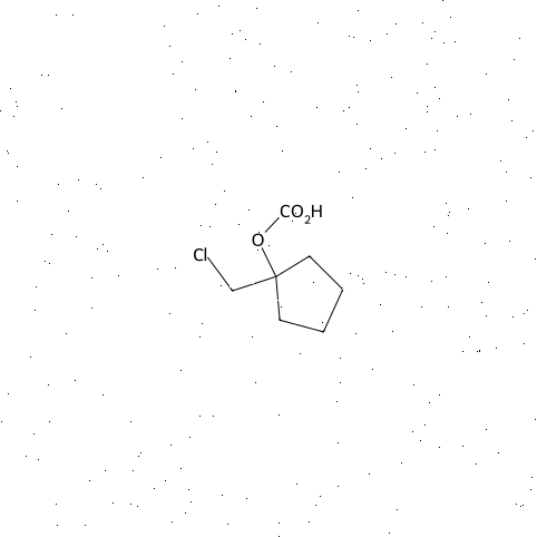 O=C(O)OC1(CCl)CCCC1